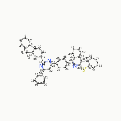 CC1(C)c2ccccc2-c2ccc(-c3nc(-c4ccccc4)cc(-c4ccc(-c5nc6sc7ccccc7c6c6ccccc56)cc4)n3)cc21